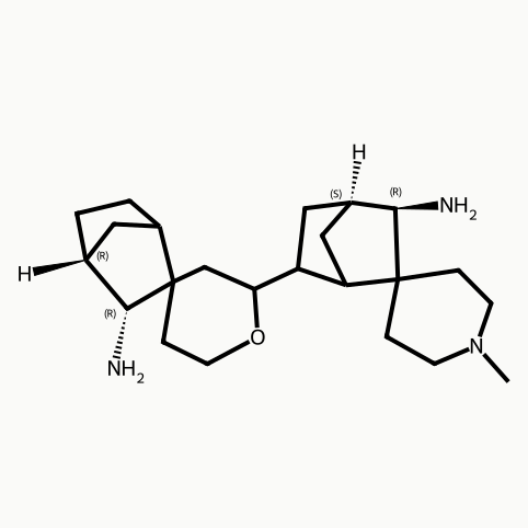 CN1CCC2(CC1)C1C[C@@H](CC1C1CC3(CCO1)C1CC[C@H](C1)[C@H]3N)[C@H]2N